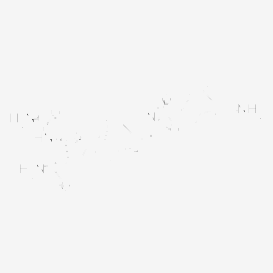 NCc1ccc(S(=O)(=O)N2CCc3cc(-c4cc(C(N)=O)c(NC(N)=O)s4)ccc3C2)cc1